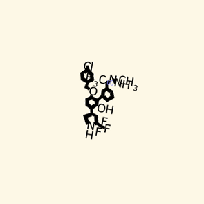 CN/N=C(/C)c1cccc(-c2c(OCc3ccc(Cl)cc3)ccc(C3=C=CNC(C(F)(F)F)=C3)c2O)c1